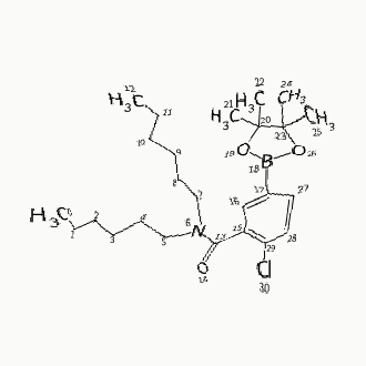 CCCCCCN(CCCCCC)C(=O)c1cc(B2OC(C)(C)C(C)(C)O2)ccc1Cl